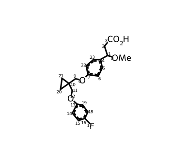 COC(CC(=O)O)c1ccc(OCC2(COc3ccc(F)cc3)CC2)cc1